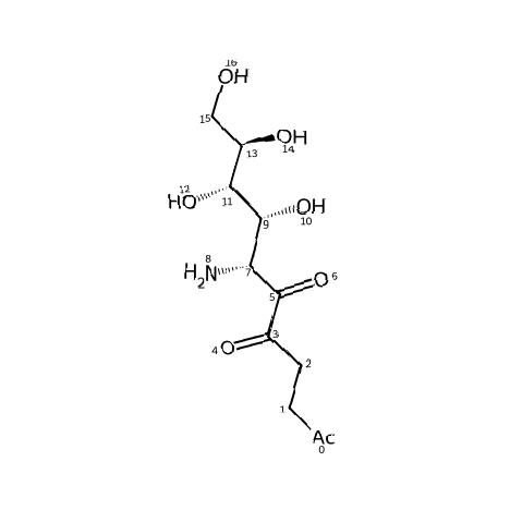 CC(=O)CCC(=O)C(=O)[C@H](N)[C@@H](O)[C@H](O)[C@H](O)CO